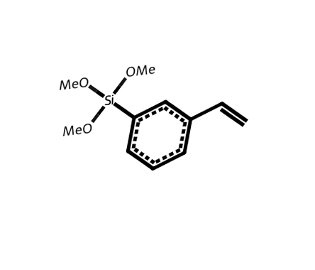 C=Cc1cccc([Si](OC)(OC)OC)c1